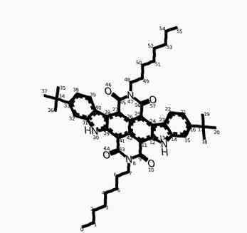 CCCCCCCCN1C(=O)c2c3[nH]c4cc(C(C)(C)C)ccc4c3c3c4c(c5c([nH]c6cc(C(C)(C)C)ccc65)c(c24)C1=O)C(=O)N(CCCCCCCC)C3=O